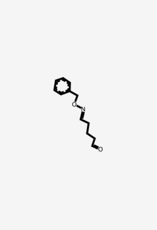 O=CCCCC=NOCc1ccccc1